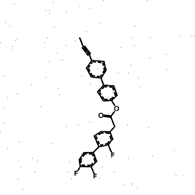 CC#Cc1ccc(-c2ccc(OC(=O)Cc3ccc(-c4ccc(F)c(F)c4)c(F)c3)cc2)cc1